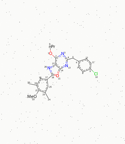 CCCOc1nc(Cc2ccc(Cl)cc2)nc2oc(-c3cc(C)c(OC)c(C)c3)nc12